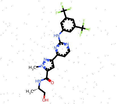 C[C@@H](CO)NC(=O)c1cc(-c2ccnc(Nc3cc(C(F)(F)F)cc(C(F)(F)F)c3)n2)nn1C